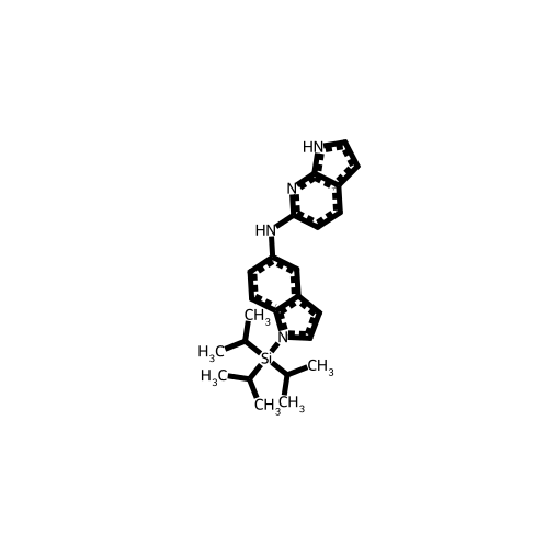 CC(C)[Si](C(C)C)(C(C)C)n1ccc2cc(Nc3ccc4cc[nH]c4n3)ccc21